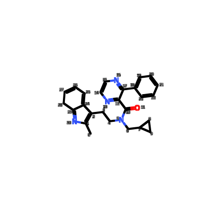 CC1=C(CCN(CC2CC2)C(=O)c2nccnc2-c2ccccc2)C2=CC=CCC2=N1